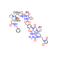 CC[C@H](C)[C@@H]([C@@H](CC(=O)N1CCC[C@H]1[C@H](OC)[C@@H](C)C(=O)NCCc1ccccc1)OC)N(C)C(=O)[C@@H](NC(=O)C1(NC(=O)OCc2ccc(N(C(=O)[C@@H](NC(=O)CCCCCN3C(=O)C=CC3=O)C(C)C)[C@@H](CCCNC(N)=O)C(N)=O)cc2)COC1)C(C)C